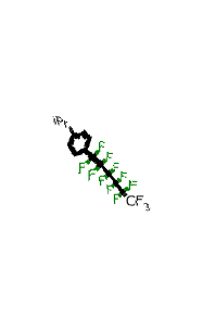 [CH2]C(C)c1ccc(C(F)(F)C(F)(F)C(F)(F)C(F)(F)C(F)(F)C(F)(F)F)cc1